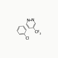 Clc1ccccc1.FC(F)(F)c1ccnnc1